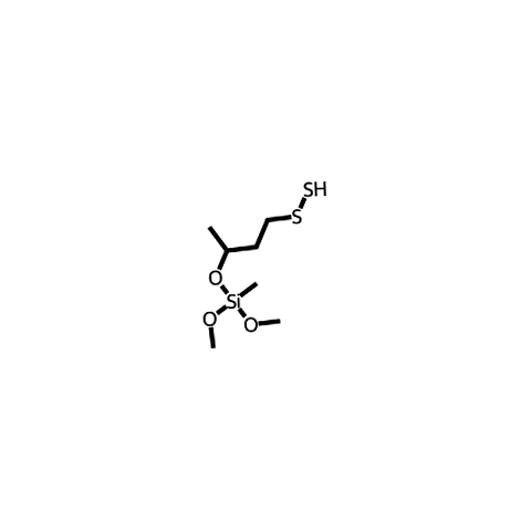 CO[Si](C)(OC)OC(C)CCSS